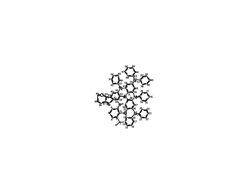 CC(C)c1cccc(C(C)C)c1B1c2ccccc2N(c2ccccc2)c2cc3c(cc21)B1c2cc4sc5ccccc5c4cc2N(c2ccccc2)c2cc(N(c4ccccc4)c4ccccc4)cc(c21)N3c1ccccc1